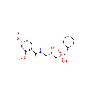 COc1ccc(C(C)NCC(O)CP(=O)(O)CC2CCCCC2)c(OC)c1